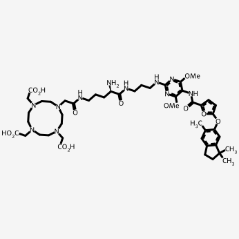 COc1nc(NCCCNC(=O)[C@H](N)CCCNC(=O)CN2CCN(CC(=O)O)CCN(CC(=O)O)CCN(CC(=O)O)CC2)nc(OC)c1NC(=O)c1ccc(Oc2cc3c(cc2C)CCC3(C)C)o1